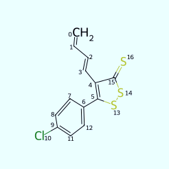 C=CC=Cc1c(-c2ccc(Cl)cc2)ssc1=S